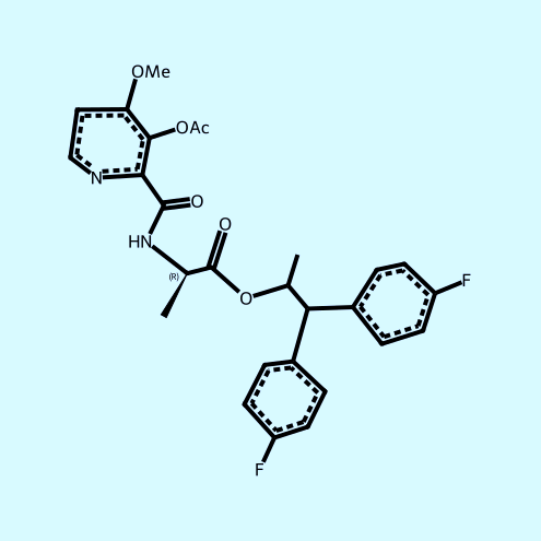 COc1ccnc(C(=O)N[C@H](C)C(=O)OC(C)C(c2ccc(F)cc2)c2ccc(F)cc2)c1OC(C)=O